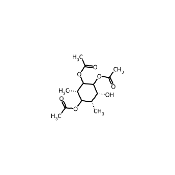 CC(=O)OC1C(OC(C)=O)[C@H](O)[C@H](C)C(OC(C)=O)[C@@H]1C